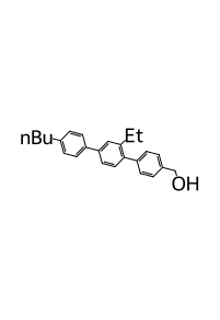 CCCCc1ccc(-c2ccc(-c3ccc(CO)cc3)c(CC)c2)cc1